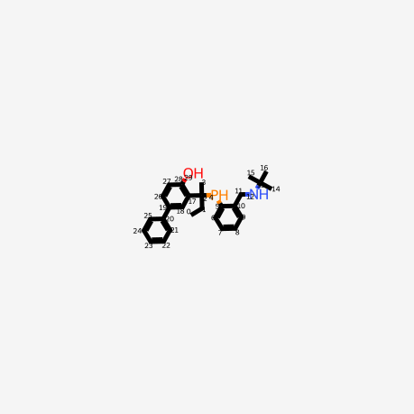 CCC(C)(Pc1ccccc1CNC(C)(C)C)c1cc(-c2ccccc2)ccc1O